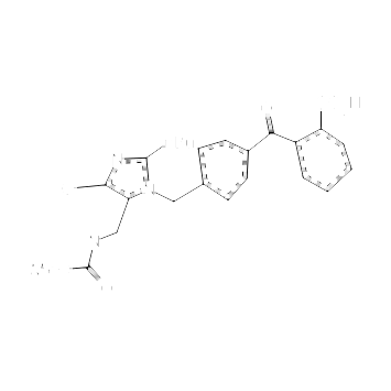 CCCCc1nc(Cl)c(CNC(=O)OC)n1Cc1ccc(C(=O)c2ccccc2C(=O)O)cc1